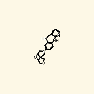 c1cnc2c(c1)CNc1cc(N3CC4OC5COCC54C3)ccc1N2